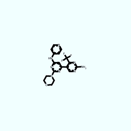 Nc1ncc(-c2cc(Nc3ccncc3)nc(N3CCOCC3)n2)c(C(F)(F)F)n1